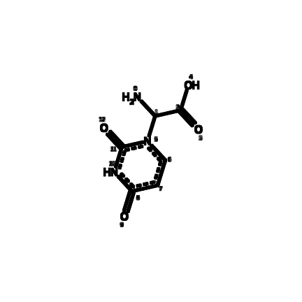 NC(C(=O)O)n1ccc(=O)[nH]c1=O